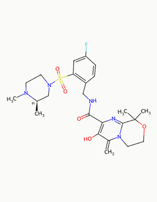 C=C1C(O)=C(C(=O)NCc2ccc(F)cc2S(=O)(=O)N2CCN(C)[C@H](C)C2)N=C2N1CCOC2(C)C